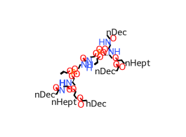 C=CCOP(=O)(OCCNC(=O)NCCOP(=O)(OCC=C)OC[C@@H](COCC[C@@H](CCCCCCC)OC(=O)CCCCCCCCCCC)NC(=O)CNC(=O)CCCCCCCCCCC)OC[C@@H](COCC[C@@H](CCCCCCC)OC(=O)CCCCCCCCCCC)NC(=O)CNC(=O)CCCCCCCCCCC